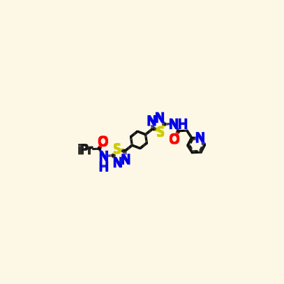 CC(C)C(=O)Nc1nnc(C2CCC(c3nnc(NC(=O)Cc4ccccn4)s3)CC2)s1